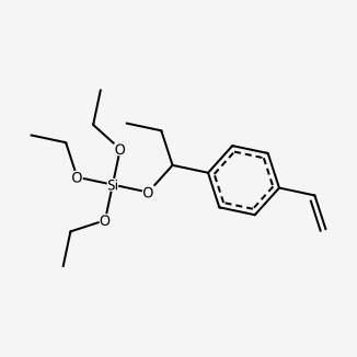 C=Cc1ccc(C(CC)O[Si](OCC)(OCC)OCC)cc1